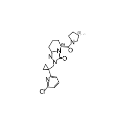 C[C@H]1CCN(C(=O)[C@@H]2CCCc3nn(CC4(c5cccc(Cl)n5)CC4)c(=O)n32)C1